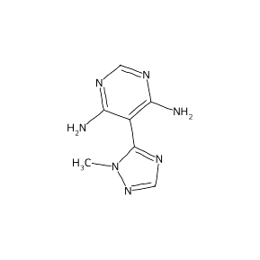 Cn1ncnc1-c1c(N)ncnc1N